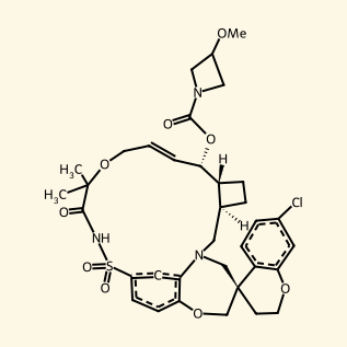 COC1CN(C(=O)O[C@H]2/C=C/COC(C)(C)C(=O)NS(=O)(=O)c3ccc4c(c3)N(C[C@@H]3CC[C@H]32)C[C@@]2(CCOc3cc(Cl)ccc32)CO4)C1